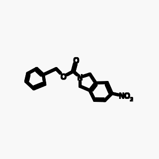 O=C(OCc1ccccc1)N1Cc2ccc([N+](=O)[O-])cc2C1